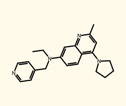 CCN(Cc1ccncc1)c1ccc2c(N3CCCC3)cc(C)nc2c1